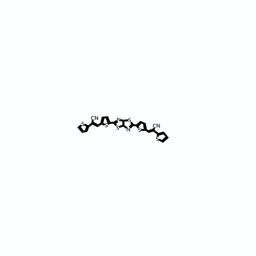 N#C/C(=C\c1ccc(C2=NC3SC(c4ccc(/C=C(\C#N)c5cccs5)s4)=NC3S2)s1)c1cccs1